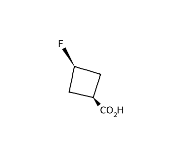 O=C(O)[C@H]1C[C@@H](F)C1